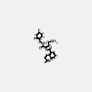 Cc1ccc2c(-c3nc(C(=O)NCc4ccc(F)cc4F)c(CN)o3)cccc2n1